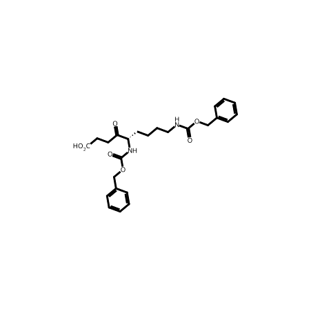 O=C(O)CCC(=O)[C@H](CCCCNC(=O)OCc1ccccc1)NC(=O)OCc1ccccc1